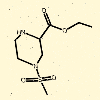 CCOC(=O)C1CN(S(C)(=O)=O)CCN1